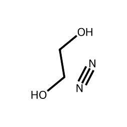 N#N.OCCO